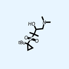 CN(C)CC(O)C(C)(C)S(=O)(=O)C1(C(C)(C)C)CC1